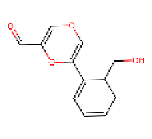 O=CC1=COC=C(C2=CC=CCC2CO)O1